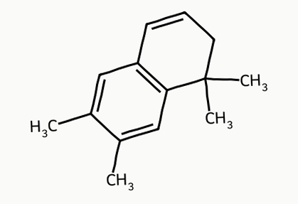 Cc1cc2c(cc1C)C(C)(C)CC=C2